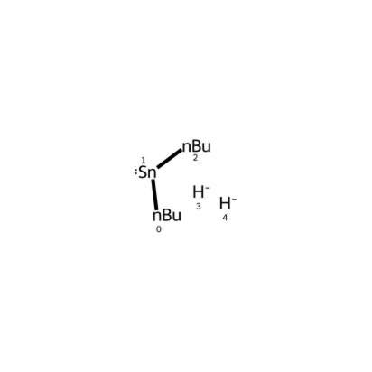 CCC[CH2][Sn][CH2]CCC.[H-].[H-]